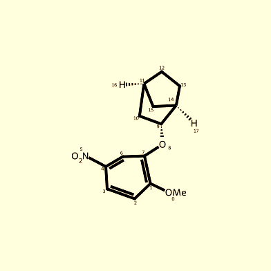 COc1ccc([N+](=O)[O-])cc1O[C@@H]1C[C@H]2CC[C@@H]1C2